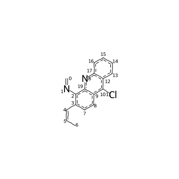 C=Nc1c(/C=C\C)ccc2c(Cl)c3ccccc3nc12